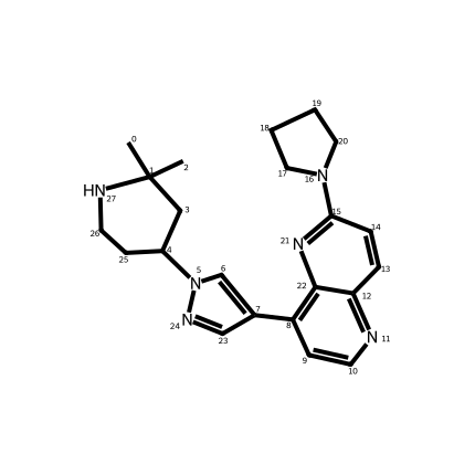 CC1(C)CC(n2cc(-c3ccnc4ccc(N5CCCC5)nc34)cn2)CCN1